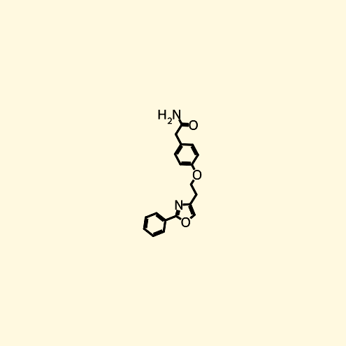 NC(=O)Cc1ccc(OCCc2coc(-c3ccccc3)n2)cc1